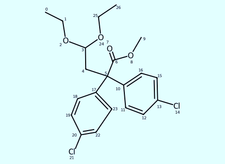 CCOC(CC(C(=O)OC)(c1ccc(Cl)cc1)c1ccc(Cl)cc1)OCC